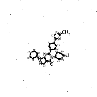 Cc1noc(-c2ccc(-c3nc4c(cnn4-c4ccccc4)c(=O)n3-c3ccc(Cl)cc3)cc2)n1